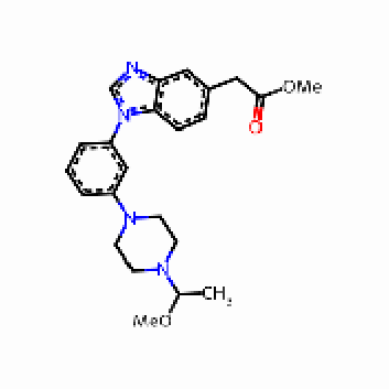 COC(=O)Cc1ccc2c(c1)ncn2-c1cccc(N2CCN(C(C)OC)CC2)c1